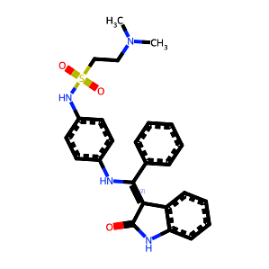 CN(C)CCS(=O)(=O)Nc1ccc(N/C(=C2\C(=O)Nc3ccccc32)c2ccccc2)cc1